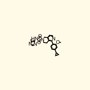 COc1cc(C2CC2)ccc1-c1nccc2c1CCN(S(=O)(=O)Nc1ncns1)C2